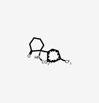 O=C(O)N[C@]1(c2ccc(C(F)(F)F)cc2)CCCCC1=O